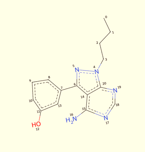 CCCCn1nc(-c2cccc(O)c2)c2c(N)ncnc21